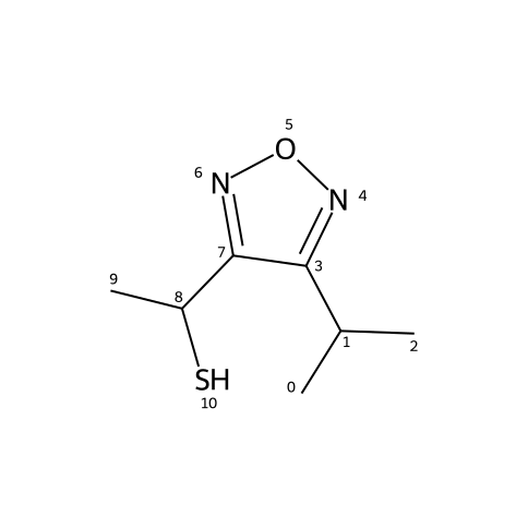 CC(C)c1nonc1C(C)S